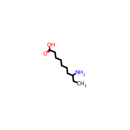 CCC(N)CCCCCCC(=O)O